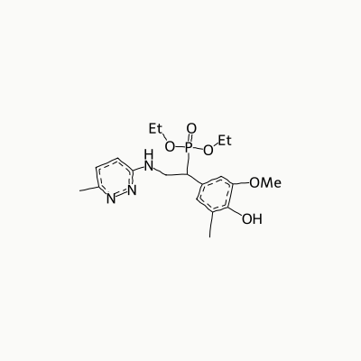 CCOP(=O)(OCC)C(CNc1ccc(C)nn1)c1cc(C)c(O)c(OC)c1